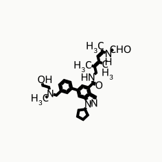 C/C(=C/C(C)=C(\C)CNC(=O)c1cc(-c2cccc(CN(C)CCO)c2)cc2c1cnn2C1CCCC1)NC=O